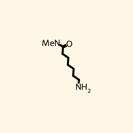 CNC(=O)CCCCCCN